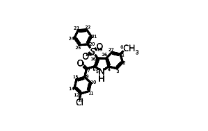 Cc1ccc2[nH]c(C(=O)c3ccc(Cl)cc3)c(S(=O)(=O)c3ccccc3)c2c1